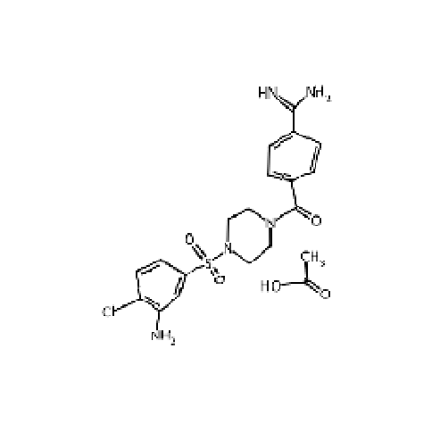 CC(=O)O.N=C(N)c1ccc(C(=O)N2CCN(S(=O)(=O)c3ccc(Cl)c(N)c3)CC2)cc1